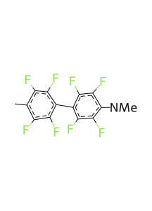 CNc1c(F)c(F)c(-c2c(F)c(F)c(C)c(F)c2F)c(F)c1F